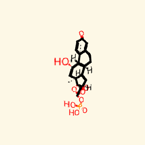 C[C@]12C=CC(=O)C=C1CC[C@@H]1[C@@H]2[C@@H](O)C[C@@]2(C)[C@H]1C[C@H]1OCO[C@]12C(=O)COP(=O)(O)O